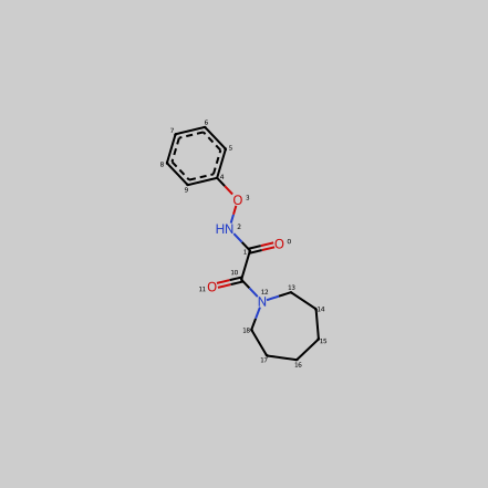 O=C(NOc1ccccc1)C(=O)N1CCCCCC1